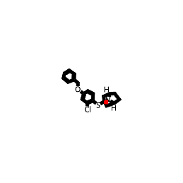 CN1[C@@H]2CC[C@H]1CC(Sc1ccc(OCc3ccccc3)cc1Cl)C2